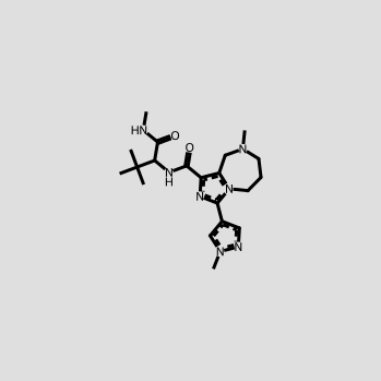 CNC(=O)C(NC(=O)c1nc(-c2cnn(C)c2)n2c1CN(C)CCC2)C(C)(C)C